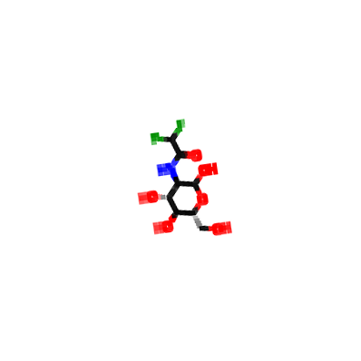 O=C(N[C@H]1C(O)O[C@H](CO)[C@@H](O)[C@@H]1O)C(F)F